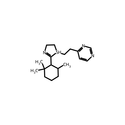 CC1CCCC(C)(C)C1C1=NCC[SH]1CCc1ccncn1